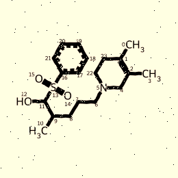 CC1=C(C)CN(CCCC(C)C(O)S(=O)(=O)c2ccccc2)CC1